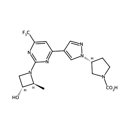 C[C@H]1[C@H](O)CN1c1nc(-c2cnn([C@@H]3CCN(C(=O)O)C3)c2)cc(C(F)(F)F)n1